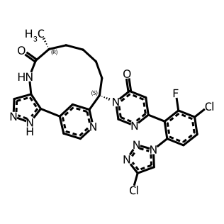 C[C@@H]1CCCC[C@H](n2cnc(-c3c(-n4cc(Cl)nn4)ccc(Cl)c3F)cc2=O)c2cc(ccn2)-c2[nH]ncc2NC1=O